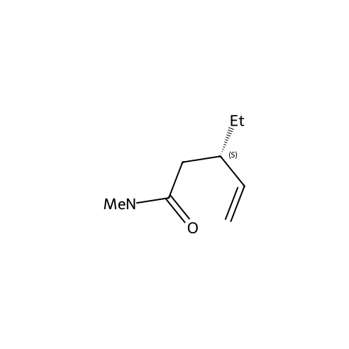 C=C[C@@H](CC)CC(=O)NC